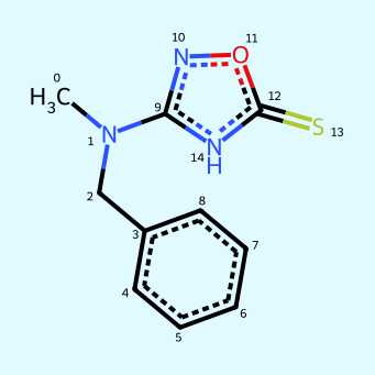 CN(Cc1ccccc1)c1noc(=S)[nH]1